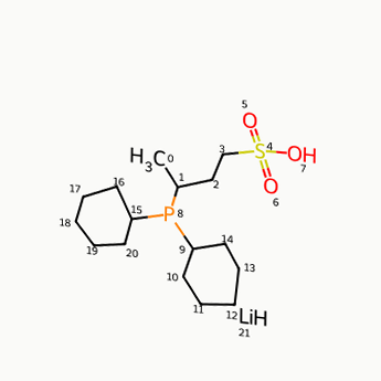 CC(CCS(=O)(=O)O)P(C1CCCCC1)C1CCCCC1.[LiH]